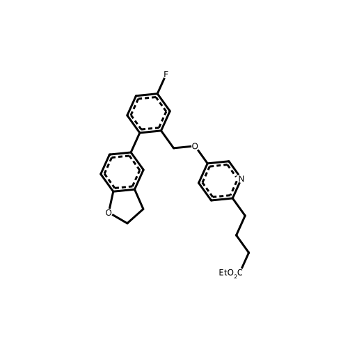 CCOC(=O)CCCc1ccc(OCc2cc(F)ccc2-c2ccc3c(c2)CCO3)cn1